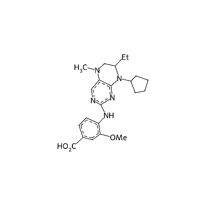 CCC1CN(C)c2cnc(Nc3ccc(C(=O)O)cc3OC)nc2N1C1CCCC1